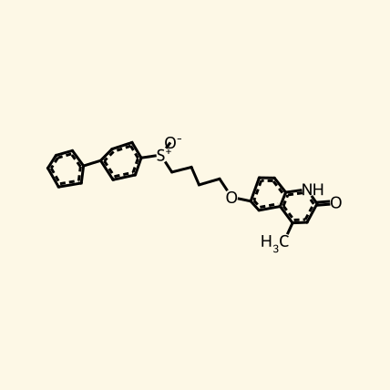 Cc1cc(=O)[nH]c2ccc(OCCCC[S+]([O-])c3ccc(-c4ccccc4)cc3)cc12